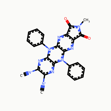 [C-]#[N+]c1nc2c(nc1[N+]#[C-])n(-c1ccccc1)c1nc3c(=O)n(C)c(=O)c3nc1n2-c1ccccc1